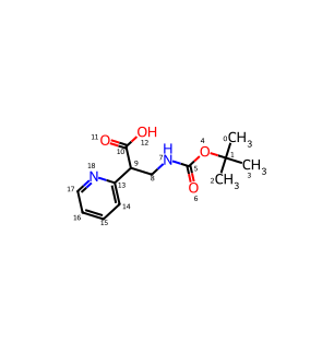 CC(C)(C)OC(=O)NCC(C(=O)O)c1ccccn1